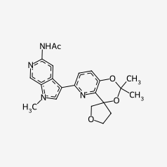 CC(=O)Nc1cc2c(-c3ccc4c(n3)C3(CCOC3)OC(C)(C)O4)cn(C)c2cn1